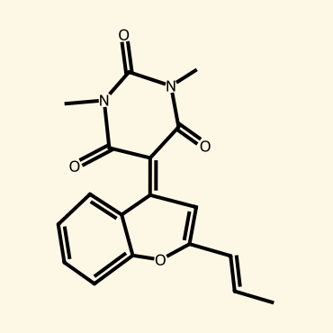 C/C=C/C1=CC(=C2C(=O)N(C)C(=O)N(C)C2=O)c2ccccc2O1